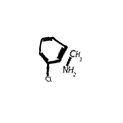 CN.Clc1ccccc1